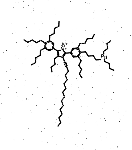 CCCCCCCCCCCCCCC#CC1=C(c2cc(CCCCC)c(CCCCC)c(CCCCC)c2)[N+](=[N-])C(c2cc(CCCCC)c(CCCCC)c(CCCCC)c2)=C1CCCC.CCC[CH2][Pd][CH2]CCC